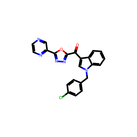 O=C(c1nnc(-c2cnccn2)o1)c1cn(Cc2ccc(Cl)cc2)c2ccccc12